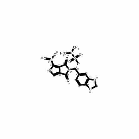 CN(C)S(=O)(=O)C[C@H](c1ccc2c(c1)OCO2)N1C(=O)c2csc([N+](=O)[O-])c2C1=O